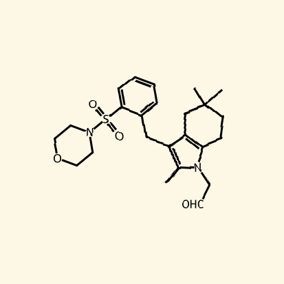 Cc1c(Cc2ccccc2S(=O)(=O)N2CCOCC2)c2c(n1CC=O)CCC(C)(C)C2